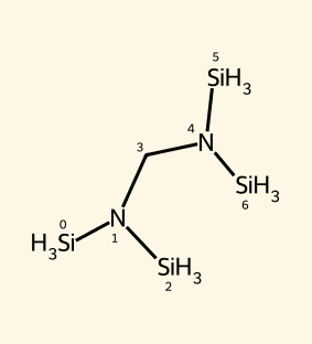 [SiH3]N([SiH3])CN([SiH3])[SiH3]